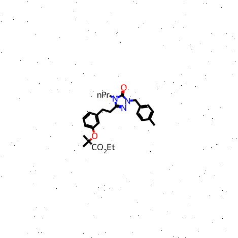 CCCn1c(CCc2cccc(OC(C)(C)C(=O)OCC)c2)nn(Cc2ccc(C)cc2)c1=O